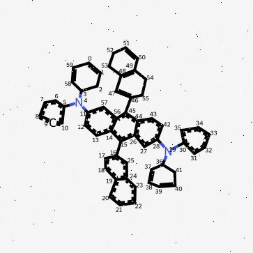 C1=CCC(N(c2ccccc2)c2ccc3c(-c4ccc5ccccc5c4)c4cc(N(c5ccccc5)C5C=CC=CC5)ccc4c(C4=CC5=C(C=CCC5)CC4)c3c2)C=C1